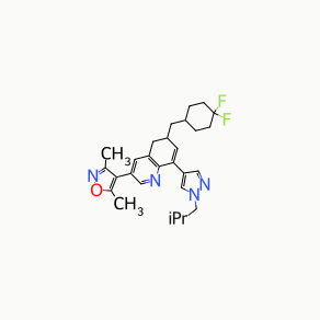 Cc1noc(C)c1-c1cnc2c(c1)CC(CC1CCC(F)(F)CC1)C=C2c1cnn(CC(C)C)c1